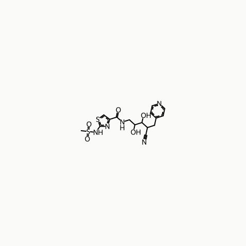 CS(=O)(=O)Nc1nc(C(=O)NCC(O)C(O)C(C#N)Cc2ccncc2)cs1